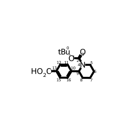 CC(C)(C)OC(=O)N1CCCCC1c1ccc(C(=O)O)cc1